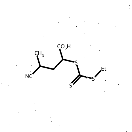 CCSC(=S)SC(CC(C)C#N)C(=O)O